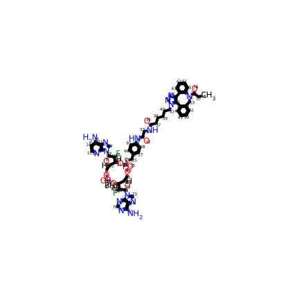 B[P@]1(=O)OC[C@H]2O[C@@H](n3cnc4c(N)ccnc43)[C@H](F)[C@@H]2O[P@@](=O)(SCc2ccc(NC(=O)CNC(=O)CCCCCn3nnc4c3-c3ccccc3CN(C(=O)CC)c3ccccc3-4)cc2)OC[C@H]2O[C@@H](n3cnc4c(N)ncnc43)[C@H](F)[C@@H]2O1